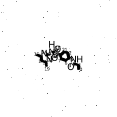 C=CC(=O)Nc1ccc(S(=O)(=O)Nc2nc(C)cc(C)n2)cc1